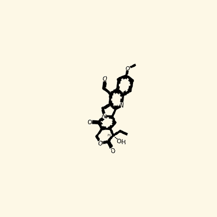 CC[C@@]1(O)C(=O)OCc2c1cc1n(c2=O)Cc2c-1nc1ccc(OC)cc1c2C=O